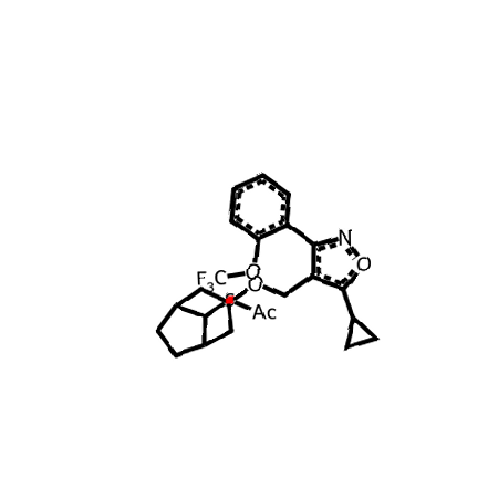 CC(=O)SC1C2CCC1CC(OCc1c(-c3ccccc3OC(F)(F)F)noc1C1CC1)C2